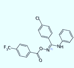 O=C(O/N=C(/Nc1ccccc1)c1ccc(Cl)cc1)c1ccc(C(F)(F)F)cc1